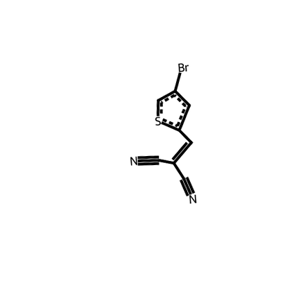 N#CC(C#N)=Cc1cc(Br)cs1